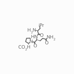 CC(C)C[C@H](N)C(=O)N[C@@H](CCC(N)=O)C(=O)N1CCC[C@H]1C(=O)O